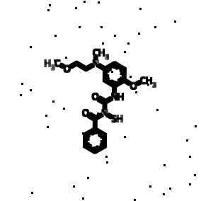 COCCN(C)c1ccc(OC)c(NC(=O)N(S)C(=O)c2ccccc2)c1